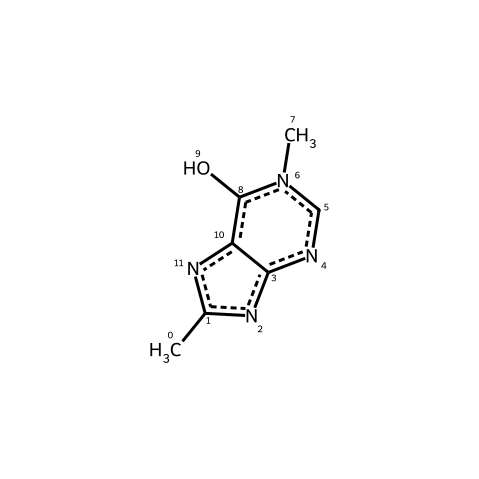 Cc1nc2ncn(C)c(O)c-2n1